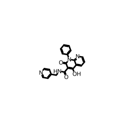 O=C(NCc1ccncc1)c1c(O)c2cccnc2n(-c2ccccc2)c1=O